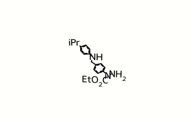 CCOC(=O)N(N)c1ccc(CNc2ccc(C(C)C)cc2)cc1